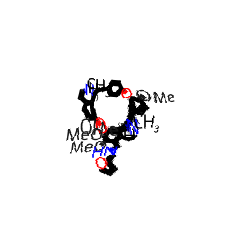 COc1ccc2cc1Oc1ccc(cc1)C[C@H]1c3cc(c(OC)cc3CCN1C)Oc1c(OC)c(OC)c(CNCc3ccco3)c3c1[C@H](C2)N(C)CC3